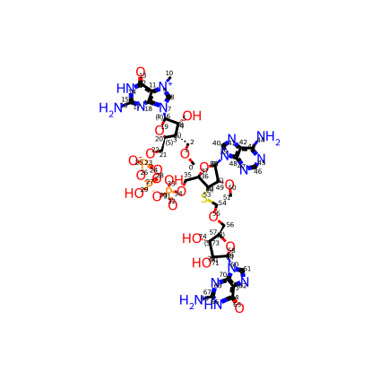 COC[C@H]1[C@@H](O)[C@H](n2c[n+](C)c3c(=O)[nH]c(N)nc32)O[C@@H]1COP(=O)([O-])OP(=O)(O)OP(=O)(O)OCC1O[C@@H](n2cnc3c(N)ncnc32)[C@H](OC)[C@@H]1SCOC[C@H]1O[C@@H](n2cnc3c(=O)[nH]c(N)nc32)[C@H](O)[C@@H]1O